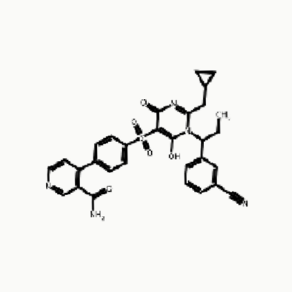 CCC(c1cccc(C#N)c1)n1c(CC2CC2)nc(=O)c(S(=O)(=O)c2ccc(-c3ccncc3C(N)=O)cc2)c1O